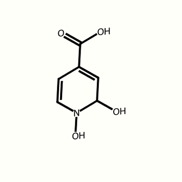 O=C(O)C1=CC(O)N(O)C=C1